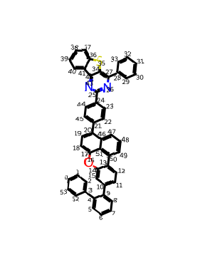 c1ccc(-c2ccccc2-c2ccc3c(c2)Oc2ccc(-c4ccc(-c5nc(-c6ccccc6)c6sc7ccccc7c6n5)cc4)c4cccc-3c24)cc1